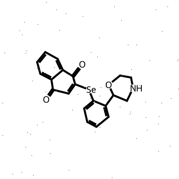 O=C1C=C([Se]c2ccccc2C2CNCCO2)C(=O)c2ccccc21